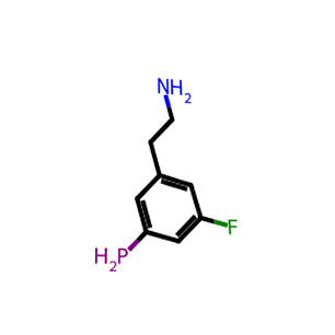 NCCc1cc(F)cc(P)c1